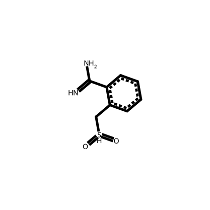 N=C(N)c1ccccc1C[SH](=O)=O